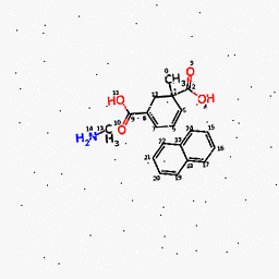 CC1(C(=O)O)C=CC=C(C(=O)O)C1.CN.c1ccc2ccccc2c1